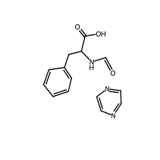 O=CNC(Cc1ccccc1)C(=O)O.c1cnccn1